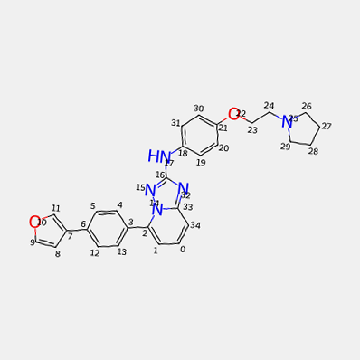 c1cc(-c2ccc(-c3ccoc3)cc2)n2nc(Nc3ccc(OCCN4CCCC4)cc3)nc2c1